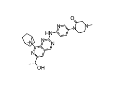 C[C@@H](O)c1cc2cnc(Nc3ccc(N4CCN(C)CC4=O)cn3)nc2c(N2C3CCC2CC3)n1